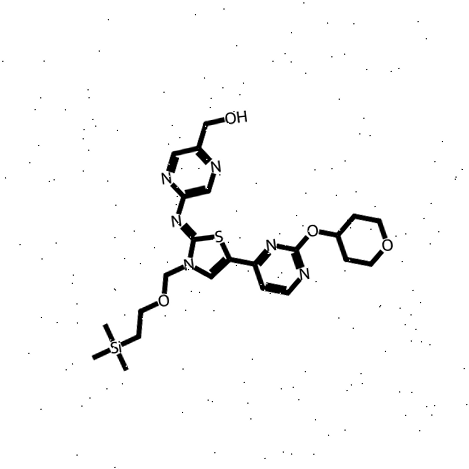 C[Si](C)(C)CCOCn1cc(-c2ccnc(OC3CCOCC3)n2)s/c1=N\c1cnc(CO)cn1